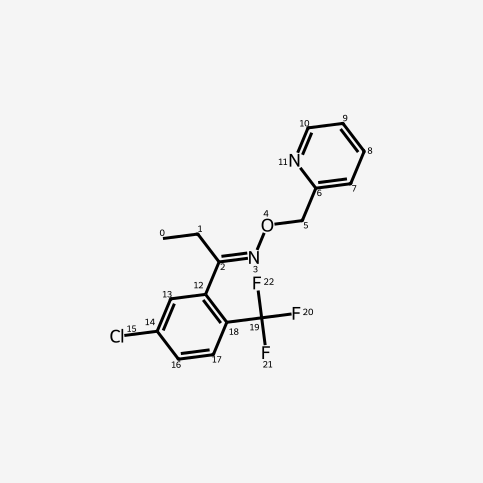 CC/C(=N\OCc1ccccn1)c1cc(Cl)ccc1C(F)(F)F